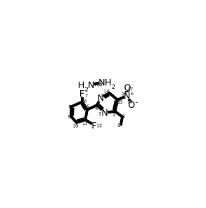 CCc1nc(-c2c(F)cccc2F)ncc1[N+](=O)[O-].NN